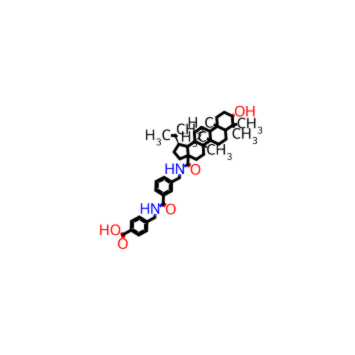 C=C(C)[C@@H]1CCC2(C(=O)NCc3cccc(C(=O)NCc4ccc(C(=O)O)cc4)c3)CC[C@]3(C)C(CCC4C5(C)CCC(O)C(C)(C)C5CCC43C)C12